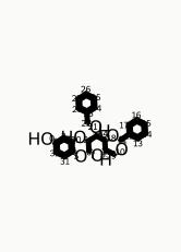 Oc1ccc(O[C@@H]2O[C@@H]3COC(c4ccccc4)O[C@H]3[C@H](OCc3ccccc3)[C@H]2O)cc1